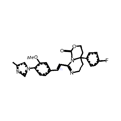 COc1cc(/C=C/C2=NCCC3(c4ccc(F)cc4)CCOC(=O)N23)ccc1-n1cnc(C)c1